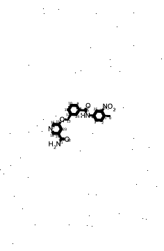 Cc1ccc(NC(=O)c2cccc(COc3cncc(C(N)=O)c3)c2)cc1[N+](=O)[O-]